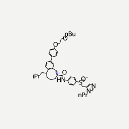 CCCCOCCOc1ccc(-c2ccc3c(c2)/C=C(/C(=O)Nc2ccc([S+]([O-])Cc4cncn4CCC)cc2)CCCC3CC(C)C)cc1